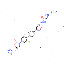 O=C(O)CNCC(=O)NC[C@@H]1CC(c2ccc(-c3ccc(N4C[C@H](Cn5ccnn5)OC4=O)cc3F)cn2)=NO1